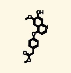 COC(=O)Cc1ccc(Oc2ccnc3cc(O)c(OC)cc23)cc1